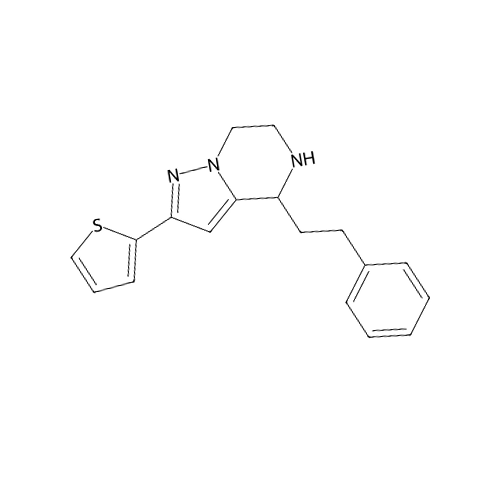 c1ccc(CCC2NCCn3nc(-c4cccs4)cc32)cc1